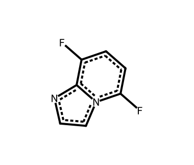 Fc1ccc(F)n2ccnc12